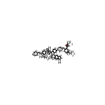 C[C@@H]1CN(c2cc(N3CCN(CC4=C(C56CC(C(F)(F)F)(C5)C6)CC(C)(C)CC4)CC3)ccc2C(=O)NS(=O)(=O)c2ccc(NCC3CCOCC3)c([N+](=O)[O-])c2)c2cc3cc[nH]c3nc2O1